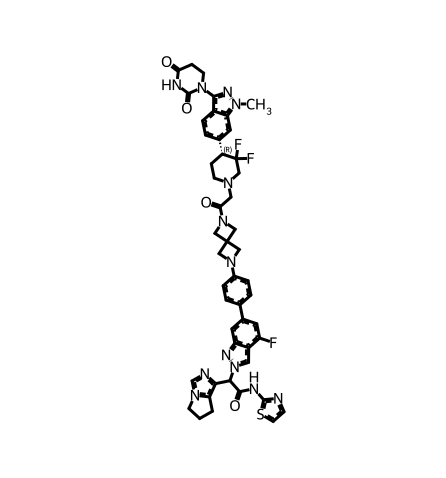 Cn1nc(N2CCC(=O)NC2=O)c2ccc([C@H]3CCN(CC(=O)N4CC5(C4)CN(c4ccc(-c6cc(F)c7cn(C(C(=O)Nc8nccs8)c8ncn9c8CCC9)nc7c6)cc4)C5)CC3(F)F)cc21